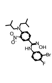 CC(C)CN(CC(C)C)c1ccc(C(=NO)Nc2ccc(F)c(Br)c2)cc1[N+](=O)[O-]